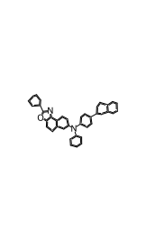 c1ccc(-c2nc3c(ccc4cc(N(c5ccccc5)c5ccc(-c6ccc7ccccc7c6)cc5)ccc43)o2)cc1